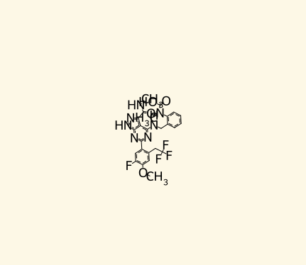 CNC(=O)c1n[nH]c2nc(-c3cc(F)c(OC)cc3CC(F)(F)F)nc(NCc3ccccc3N(C)C(=O)O)c12